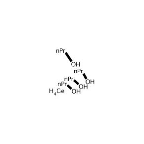 CCCO.CCCO.CCCO.CCCO.[GeH4]